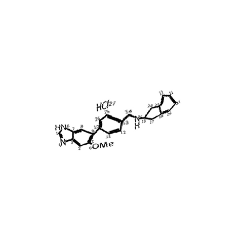 COc1cc2nc[nH]c2cc1-c1ccc(CNC2Cc3ccccc3C2)cc1.Cl